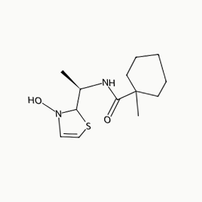 C[C@@H](NC(=O)C1(C)CCCCC1)C1SC=CN1O